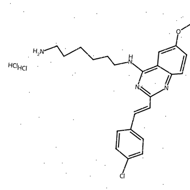 COc1ccc2nc(C=Cc3ccc(Cl)cc3)nc(NCCCCCCN)c2c1.Cl.Cl